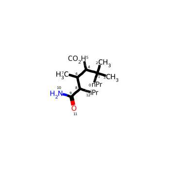 CCCC(C)(C)C(C(=O)O)C(C)C(C(N)=O)C(C)C